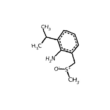 CC(C)c1cccc(C[S+](C)[O-])c1N